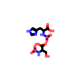 O=C(O)C(CO)NP(=O)=O.O=C(O)C(Cc1c[nH]cn1)NP(=O)=O